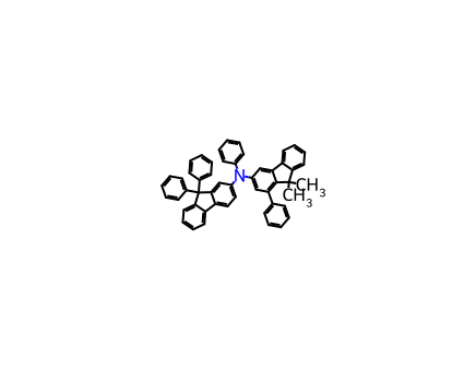 CC1(C)c2ccccc2-c2cc(N(c3ccccc3)c3ccc4c(c3)C(c3ccccc3)(c3ccccc3)c3ccccc3-4)cc(-c3ccccc3)c21